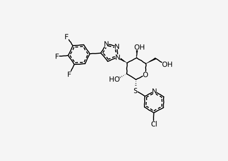 OC[C@H]1O[C@H](Sc2cc(Cl)ccn2)[C@H](O)[C@@H](n2cc(-c3cc(F)c(F)c(F)c3)nn2)[C@H]1O